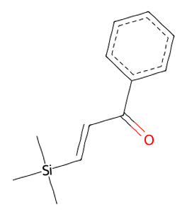 C[Si](C)(C)/C=C/C(=O)c1ccccc1